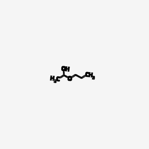 CCCOC(C)O